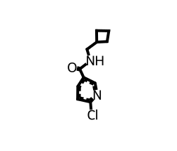 O=C(NCC1CCC1)c1ccc(Cl)nc1